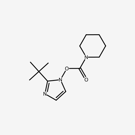 CC(C)(C)c1nccn1OC(=O)N1CCCCC1